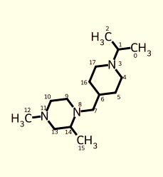 CC(C)N1CCC(CN2CCN(C)CC2C)CC1